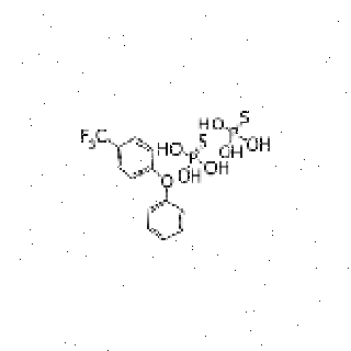 FC(F)(F)c1ccc(Oc2ccccc2)cc1.OP(O)(O)=S.OP(O)(O)=S